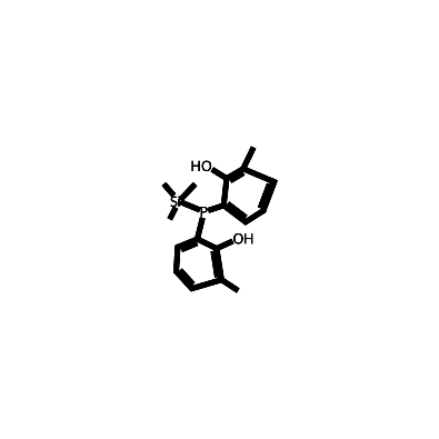 Cc1cccc(P(c2cccc(C)c2O)[Si](C)(C)C)c1O